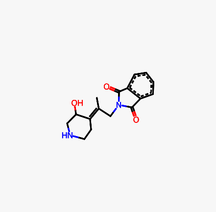 C/C(CN1C(=O)c2ccccc2C1=O)=C1/CCNCC1O